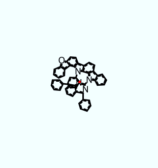 c1ccc(-c2cccc(-n3c4c(ccc5oc6ccccc6c54)c4ccc5c6ccccc6n(-c6nc(-c7ccccc7)c7ccccc7n6)c5c43)c2)cc1